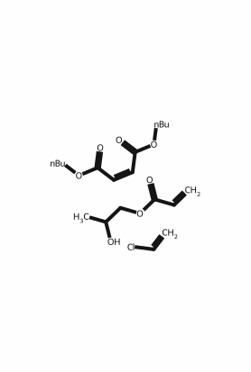 C=CC(=O)OCC(C)O.C=CCl.CCCCOC(=O)/C=C\C(=O)OCCCC